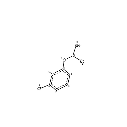 CCCC(CC)Oc1cccc(Cl)n1